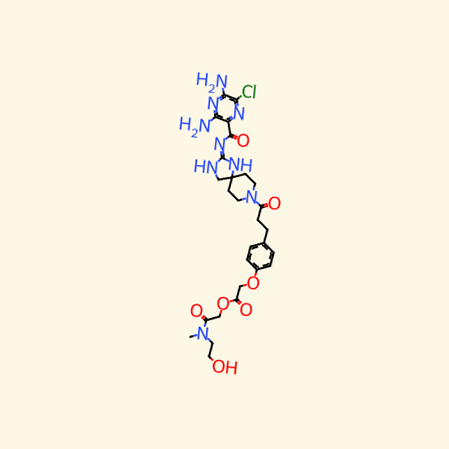 CN(CCO)C(=O)COC(=O)COc1ccc(CCC(=O)N2CCC3(CC2)CN/C(=N/C(=O)c2nc(Cl)c(N)nc2N)N3)cc1